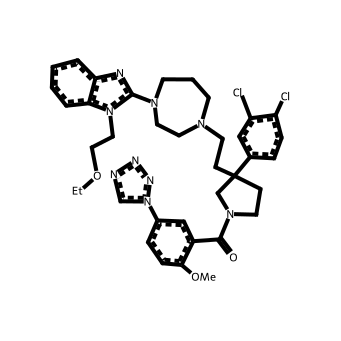 CCOCCn1c(N2CCCN(CCC3(c4ccc(Cl)c(Cl)c4)CCN(C(=O)c4cc(-n5cnnn5)ccc4OC)C3)CC2)nc2ccccc21